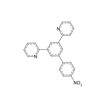 O=[N+]([O-])c1ccc(-c2cc(-c3ccccn3)cc(-c3ccccn3)c2)cc1